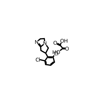 Clc1cccc(Cl)c1C1CC2=NCCN2C1.O=C(O)C(=O)O